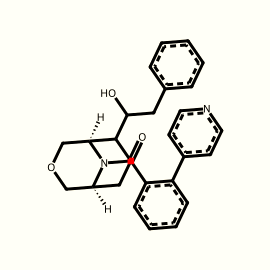 O=C(c1ccccc1-c1ccncc1)N1[C@H]2CCC(C(O)Cc3ccccc3)[C@@H]1COC2